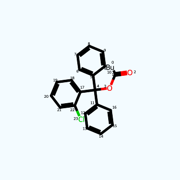 CCC(C)C(=O)OC(c1ccccc1)(c1ccccc1)c1ccccc1Cl